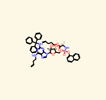 C=CCCCOC(=O)[C@H](C)NP(=O)(OCC1OC(n2cnc3c(NCCC=C)nc(NC(c4ccccc4)(c4ccccc4)c4ccccc4)nc32)[C@](C)(O)[C@@H]1O)Oc1cccc2ccccc12